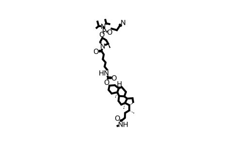 CNC(=O)CC[C@@H](C)[C@H]1CCC2C3CC[C@@H]4C[C@H](OC(=O)NCCCCCC(=O)N5C[C@H](OP(OCCC#N)N(C(C)C)C(C)C)C[C@H]5C)CC[C@]4(C)C3CC[C@@]21C